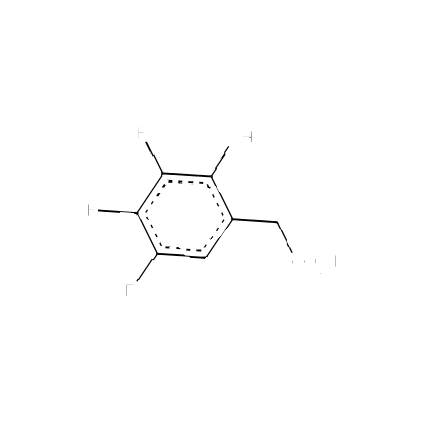 O=C(O)Cc1cc(F)c(F)c(F)c1O